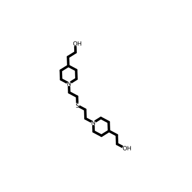 OCCC1CCN(CCSCCN2CCC(CCO)CC2)CC1